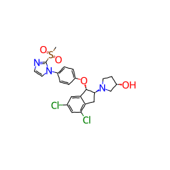 CS(=O)(=O)c1nccn1-c1ccc(O[C@@H]2c3cc(Cl)cc(Cl)c3C[C@@H]2N2CC[C@@H](O)C2)cc1